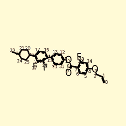 C=CCOc1ccc(C(=O)Oc2ccc(-c3ccc(C4CCC(C)CC4)c(F)c3F)cc2)c(F)c1